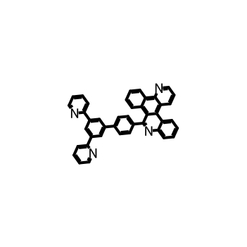 c1ccc(-c2cc(-c3ccc(-c4nc5ccccc5c5c6cccnc6c6ccccc6c45)cc3)cc(-c3ccccn3)c2)nc1